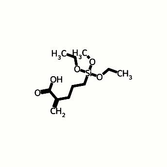 C=C(CCC[Si](OC)(OCC)OCC)C(=O)O